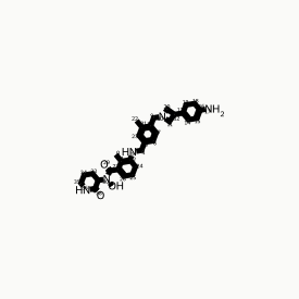 CC1=C(NCc2ccc(CN3CC(C4=CC=C(N)CC4)C3)c(C)c2)CCC=C1C(=O)N(O)C1CCCNC1=O